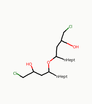 CCCCCCCC(CC(O)CCl)OC(CCCCCCC)CC(O)CCl